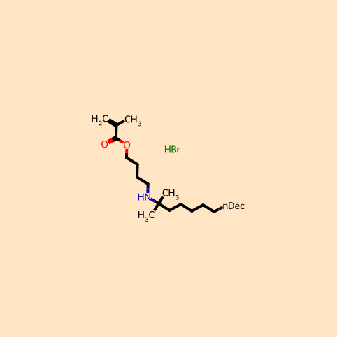 Br.C=C(C)C(=O)OCCCCNC(C)(C)CCCCCCCCCCCCCCC